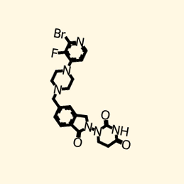 O=C1CCN(N2Cc3cc(CN4CCN(c5ccnc(Br)c5F)CC4)ccc3C2=O)C(=O)N1